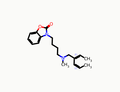 C/C=C\C(=C/C)CN(C)CCCCn1c(=O)oc2ccccc21